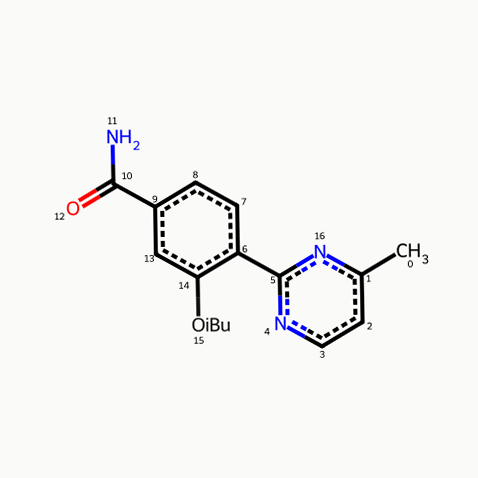 Cc1ccnc(-c2ccc(C(N)=O)cc2OCC(C)C)n1